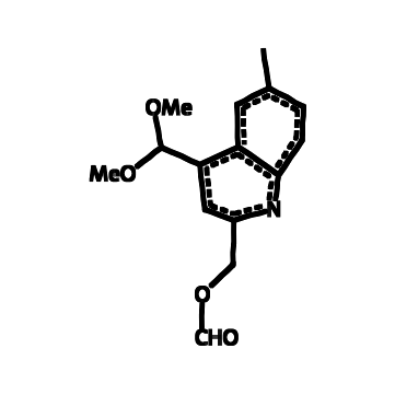 COC(OC)c1cc(COC=O)nc2ccc(C)cc12